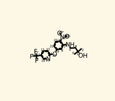 CC(C)(O)CCNc1cc(Oc2ccc(C(F)(F)F)cn2)ccc1[N+](=O)[O-]